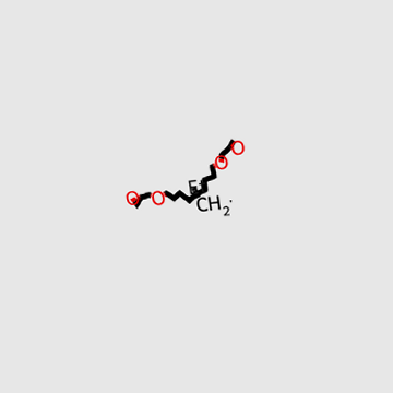 [CH2]C(CC)(CCCCOCC1CO1)CCCCOCC1CO1